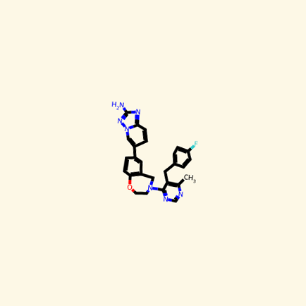 Cc1ncnc(N2CCOc3ccc(-c4ccc5nc(N)nn5c4)cc3C2)c1Cc1ccc(F)cc1